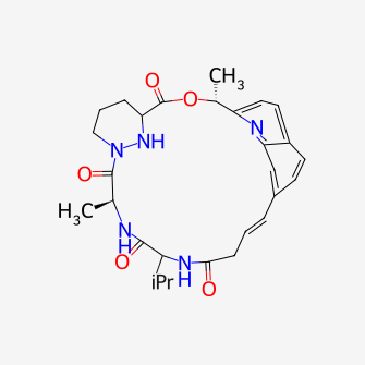 CC(C)C1NC(=O)C/C=C/c2ccc3ccc(nc3c2)[C@@H](C)OC(=O)C2CCCN(N2)C(=O)[C@H](C)NC1=O